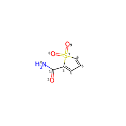 NC(=O)C1=CC=CS1(=O)=O